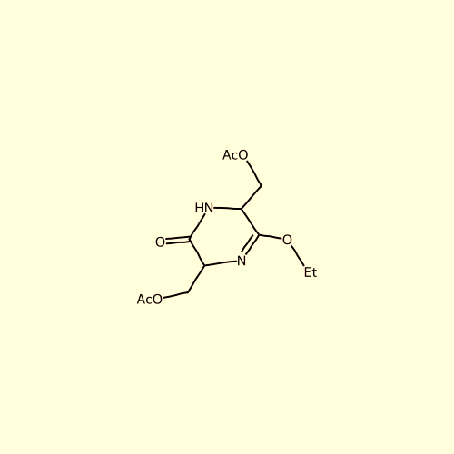 CCOC1=NC(COC(C)=O)C(=O)NC1COC(C)=O